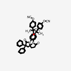 CC(C)(c1ccc(OC#N)cc1)c1ccc(N2C(=O)CCC23CC(c2ccccc2)(c2ccccc2)C(=O)N3c2ccc(C(C)(C)c3ccc(OC#N)cc3)cc2)cc1